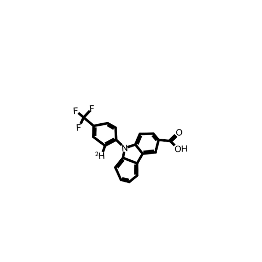 [2H]c1cc(C(F)(F)F)ccc1-n1c2ccccc2c2cc(C(=O)O)ccc21